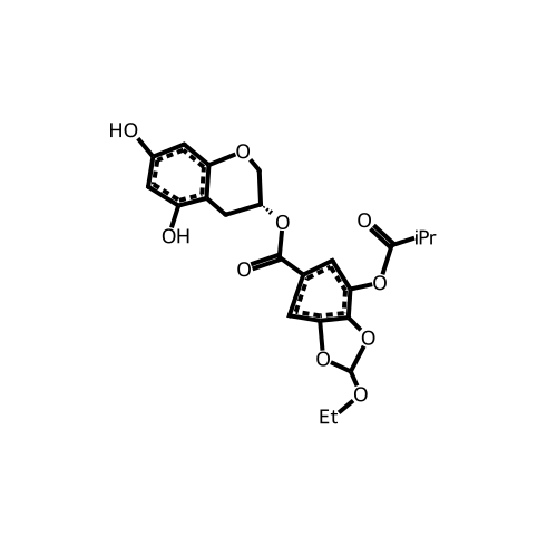 CCOC1Oc2cc(C(=O)O[C@H]3COc4cc(O)cc(O)c4C3)cc(OC(=O)C(C)C)c2O1